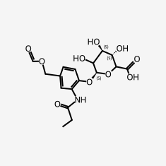 CCC(=O)Nc1cc(COC=O)ccc1O[C@@H]1OC(C(=O)O)[C@@H](O)[C@H](O)C1O